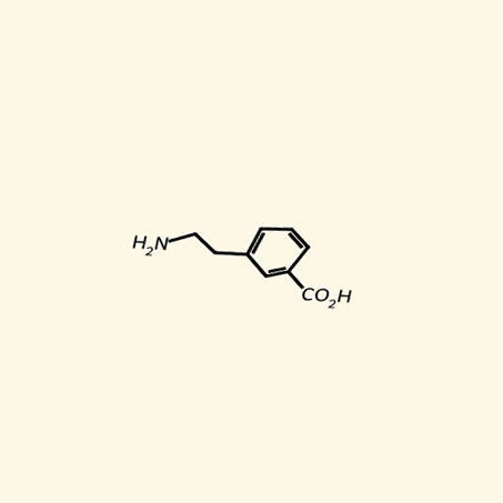 NCCc1cccc(C(=O)O)c1